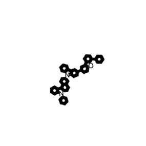 c1ccc(-c2cccc3c2oc2ccc(-c4ccc5c(c4)c4ccccc4n5-c4ccc5c(ccc6c5c5ccccc5n6-c5ccccc5)c4)cc23)cc1